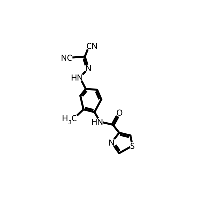 Cc1cc(NN=C(C#N)C#N)ccc1NC(=O)c1cscn1